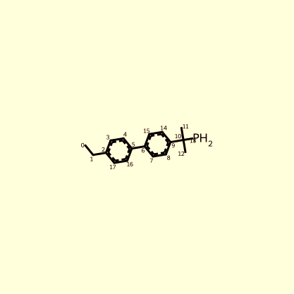 CCc1ccc(-c2ccc(C(C)(C)P)cc2)cc1